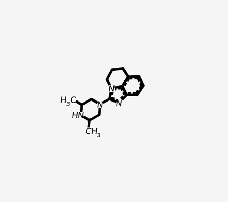 CC1CN(c2nc3cccc4c3n2CCC4)CC(C)N1